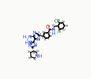 Nc1ncc(-c2cccc(C(=O)NCc3c(F)cccc3Cl)c2)nc1-c1nc([C@H]2CCCNC2)n[nH]1